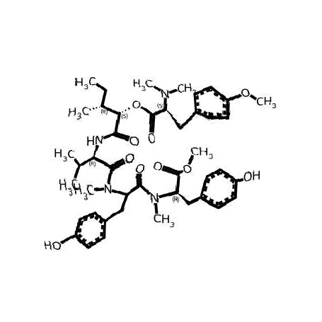 CC[C@@H](C)[C@H](OC(=O)[C@H](Cc1ccc(OC)cc1)N(C)C)C(=O)N[C@@H](C(=O)N(C)C(Cc1ccc(O)cc1)C(=O)N(C)[C@H](Cc1ccc(O)cc1)C(=O)OC)C(C)C